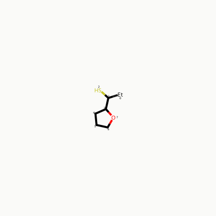 CCC(S)C1CCCO1